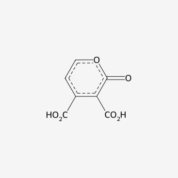 O=C(O)c1ccoc(=O)c1C(=O)O